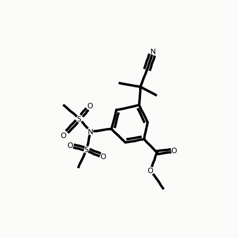 COC(=O)c1cc(N(S(C)(=O)=O)S(C)(=O)=O)cc(C(C)(C)C#N)c1